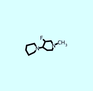 CN1CCC(N2CCCCC2)C(F)C1